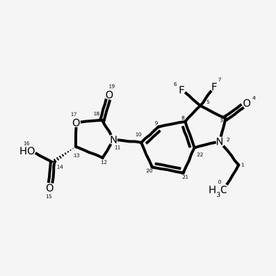 CCN1C(=O)C(F)(F)c2cc(N3C[C@H](C(=O)O)OC3=O)ccc21